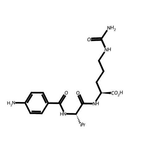 CC(C)[C@H](NC(=O)c1ccc(N)cc1)C(=O)N[C@@H](CCCNC(N)=O)C(=O)O